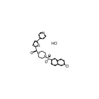 Cl.O=C(c1ccc(-c2ccncc2)s1)N1CCN(S(=O)(=O)c2ccc3cc(Cl)ccc3c2)CC1